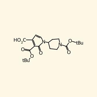 CC(C)(C)OC(=O)c1c(C(=O)O)ccn(C2CCN(C(=O)OC(C)(C)C)CC2)c1=O